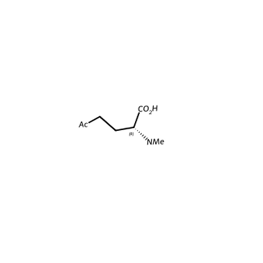 CN[C@H](CCC(C)=O)C(=O)O